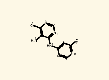 Nc1c(Cl)ncnc1Nc1ccnc(Cl)c1